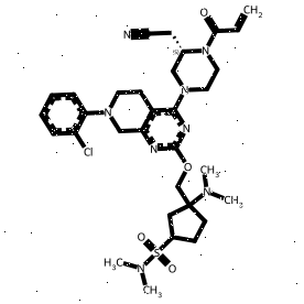 C=CC(=O)N1CCN(c2nc(OCC3(N(C)C)CCC(S(=O)(=O)N(C)C)C3)nc3c2CCN(c2ccccc2Cl)C3)C[C@@H]1CC#N